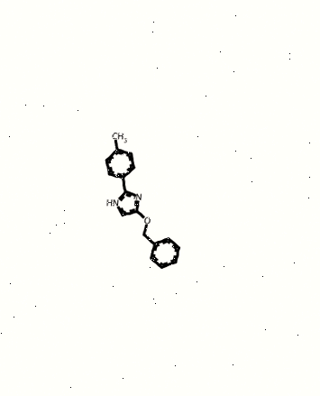 Cc1ccc(-c2nc(OCc3ccccc3)c[nH]2)cc1